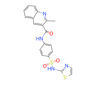 Cc1nc2ccccc2cc1C(=O)Nc1ccc(S(=O)(=O)Nc2nccs2)cc1